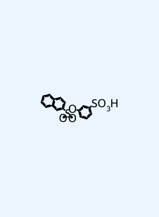 O=S(=O)(O)c1cccc(OS(=O)(=O)c2ccc3ccccc3c2)c1